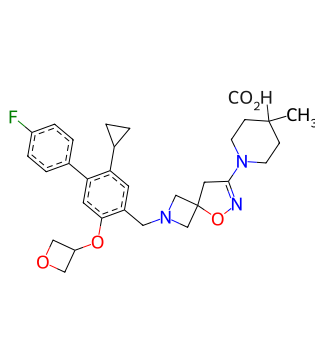 CC1(C(=O)O)CCN(C2=NOC3(C2)CN(Cc2cc(C4CC4)c(-c4ccc(F)cc4)cc2OC2COC2)C3)CC1